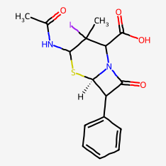 CC(=O)NC1S[C@@H]2C(c3ccccc3)C(=O)N2C(C(=O)O)C1(C)I